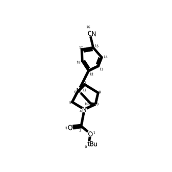 CC(C)(C)OC(=O)N1CC2CCC1CN2c1ccc(C#N)cc1